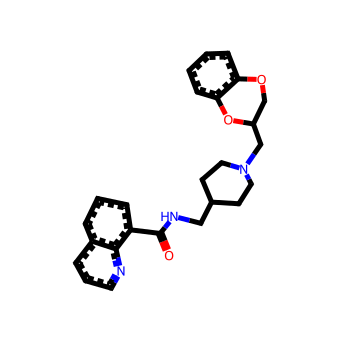 O=C(NCC1CCN(CC2COc3ccccc3O2)CC1)c1cccc2cccnc12